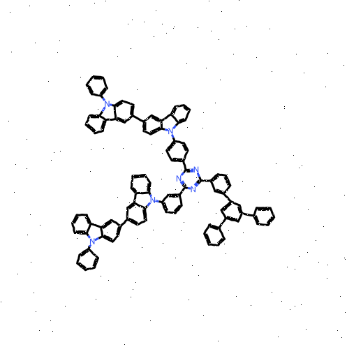 c1ccc(-c2cc(-c3ccccc3)cc(-c3cccc(-c4nc(-c5ccc(-n6c7ccccc7c7cc(-c8ccc9c(c8)c8ccccc8n9-c8ccccc8)ccc76)cc5)nc(-c5cccc(-n6c7ccccc7c7cc(-c8ccc9c(c8)c8ccccc8n9-c8ccccc8)ccc76)c5)n4)c3)c2)cc1